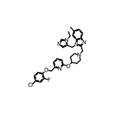 CCn1cncc1Cn1c(CN2CCC(Oc3cccc(COc4ccc(Cl)cc4F)n3)CC2)nc2ccc(C)cc21